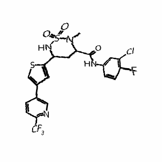 CN1C(C(=O)Nc2ccc(F)c(Cl)c2)CC(c2cc(-c3ccc(C(F)(F)F)nc3)cs2)NS1(=O)=O